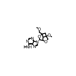 COCC12CC3(OC)COC(C31)[C@H](n1cnc3c(NI)ncnc31)O2